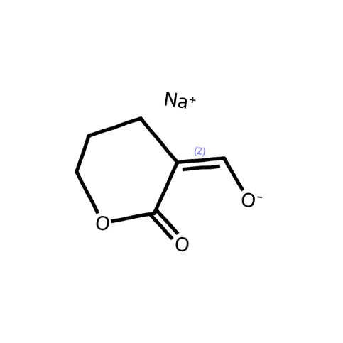 O=C1OCCC/C1=C/[O-].[Na+]